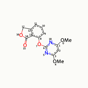 COc1cc(OC)nc(Oc2cccc3c2C(=O)OC3)n1